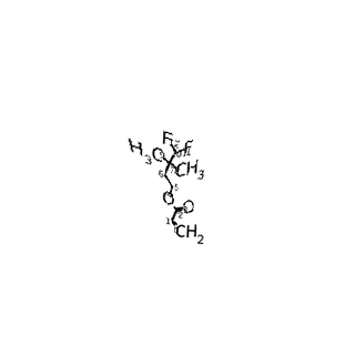 C=CC(=O)OCCC(C)(C)C(F)F